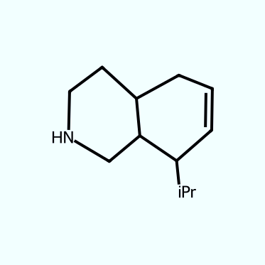 CC(C)C1C=CCC2CCNCC21